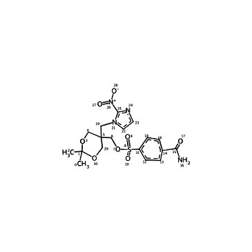 CC1(C)OCC(COS(=O)(=O)c2ccc(C(N)=O)cc2)(Cn2ccnc2[N+](=O)[O-])CO1